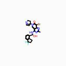 Cc1nc(N[C@H](O)c2cccc3c2CCC3(F)F)c2cn(C34CCN(CC3)C4)c(=O)c(Br)c2n1